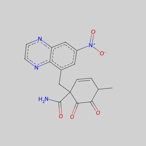 CC1C=CC(Cc2cc([N+](=O)[O-])cc3nccnc23)(C(N)=O)C(=O)C1=O